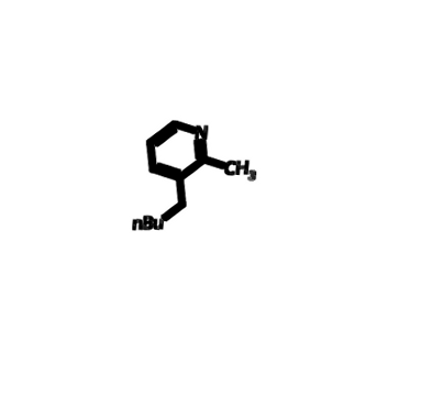 CCCCCc1cccnc1C